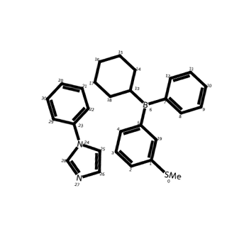 CSc1cccc(B(c2ccccc2)C2CCCCC2)c1.c1ccc(-n2ccnc2)cc1